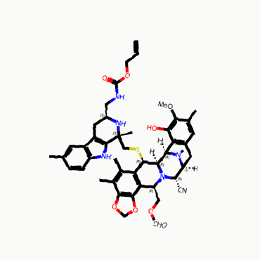 C=CCOC(=O)NC[C@@H]1Cc2c([nH]c3ccc(C)cc23)[C@@](C)(CS[C@@H]2c3c(C)c(C)c4c(c3[C@H](COC=O)N3[C@@H]2[C@H]2c5c(cc(C)c(OC)c5O)C[C@@H]([C@@H]3C#N)N2C)OCO4)N1